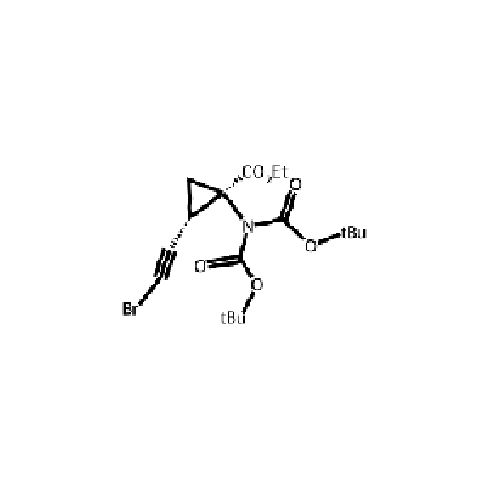 CCOC(=O)[C@@]1(N(C(=O)OC(C)(C)C)C(=O)OC(C)(C)C)C[C@H]1C#CBr